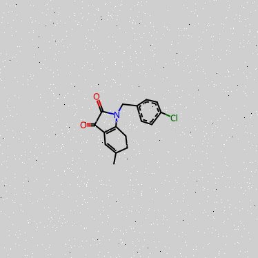 CC1=CC2=C(CC1)N(Cc1ccc(Cl)cc1)C(=O)C2=O